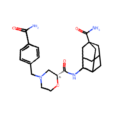 NC(=O)c1ccc(CN2CCO[C@@H](C(=O)NC3C4CC5CC3CC(C(N)=O)(C5)C4)C2)cc1